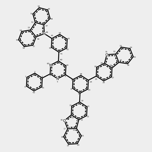 c1ccc(-c2nc(-c3cc(-c4ccc5c(c4)oc4ccccc45)cc(-c4ccc5c(c4)oc4ccccc45)c3)cc(-c3cccc(-n4c5ccccc5c5ccccc54)c3)n2)cc1